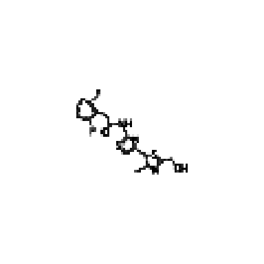 Cc1nc(CO)sc1-c1csc(NC(=O)Cc2c(F)cccc2F)n1